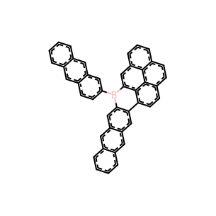 c1ccc2cc3cc(B4c5cc6cc7ccccc7cc6cc5-c5ccc6ccc7cccc8cc4c5c6c78)ccc3cc2c1